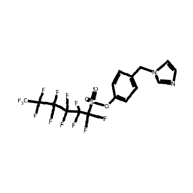 O=S(=O)(Oc1ccc(Cn2ccnc2)cc1)C(F)(F)C(F)(F)C(F)(F)C(F)(F)C(F)(F)C(F)(F)F